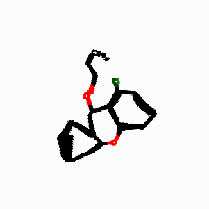 C=CCOC1c2ccccc2Oc2cccc(Cl)c21